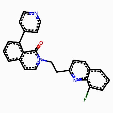 O=c1c2c(-c3ccncc3)cccc2ccn1CCc1ccc2cccc(F)c2n1